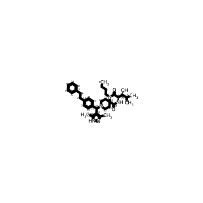 CCCCN1C(=O)[C@@H]([C@H](O)C(C)C)NC(=O)C12CCN(C(c1ccc(CCc3ccccc3)cc1)c1c(C)n[nH]c1C)CC2